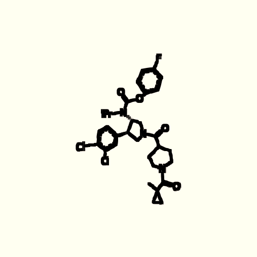 CC(C)N(C(=O)Oc1ccc(F)cc1)[C@@H]1CN(C(=O)C2CCN(C(=O)C3(C)CC3)CC2)C[C@H]1c1ccc(Cl)c(Cl)c1